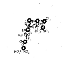 CCc1cccc(C)c1CC(N)=O.CCc1cccc(CC)c1N(COC)C(=O)CCl.CCc1cccc(CC)c1N(COC)C(=O)CCl.O=C(O)c1cc(Oc2ccc(C(F)(F)F)cc2Cl)ccc1[N+](=O)[O-].O=C(O)c1cc(Oc2ccc(C(F)(F)F)cc2Cl)ccc1[N+](=O)[O-]